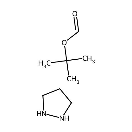 C1CNNC1.CC(C)(C)OC=O